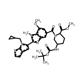 COC(=O)C1CCC(NC(=O)OC(C)(C)C)CN1C(=O)c1cc(OC)c2c(c1)nc(-c1cc3ccsc3n1CC1CC1)n2C